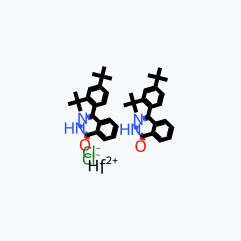 CC(C)(C)c1ccc(-c2n[nH]c(=O)c3ccccc23)c(C(C)(C)C)c1.CC(C)(C)c1ccc(-c2n[nH]c(=O)c3ccccc23)c(C(C)(C)C)c1.[Cl-].[Cl-].[Hf+2]